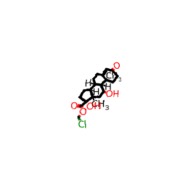 C[C@]12CCC(=O)C=C1CC[C@@H]1[C@H]2C(O)C[C@@]2(C)[C@H]1CCC2(O)C(=O)OCCl